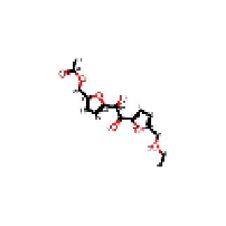 CCOCc1ccc(C(=O)C(=O)c2ccc(COC(C)=O)o2)o1